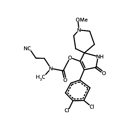 CON1CCC2(CC1)NC(=O)C(c1ccc(Cl)c(Cl)c1)=C2OC(=O)N(C)CCC#N